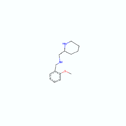 COc1ccccc1CNCC1CCCCN1